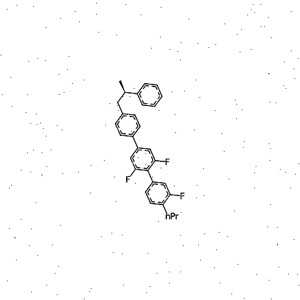 CCCc1ccc(-c2c(F)cc(-c3ccc(C[C@@H](C)c4ccccc4)cc3)cc2F)cc1F